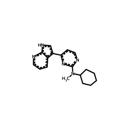 CN(c1nccc(-c2c[nH]c3ncccc23)n1)C1CCCCC1